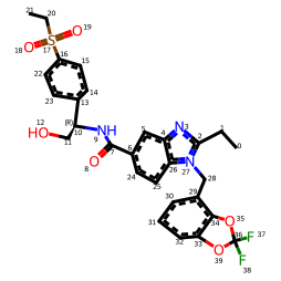 CCc1nc2cc(C(=O)N[C@@H](CO)c3ccc(S(=O)(=O)CC)cc3)ccc2n1Cc1cccc2c1OC(F)(F)O2